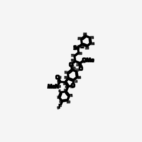 CNC(=O)c1c(-c2ccc(F)cc2)oc2ccc(OC(CC[Se]c3ccccc3)C(=O)OC)cc12